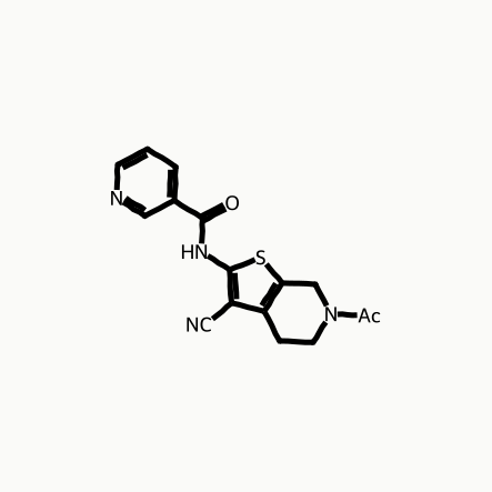 CC(=O)N1CCc2c(sc(NC(=O)c3cccnc3)c2C#N)C1